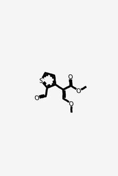 CO/C=C(\C(=O)OC)c1ccsc1C=O